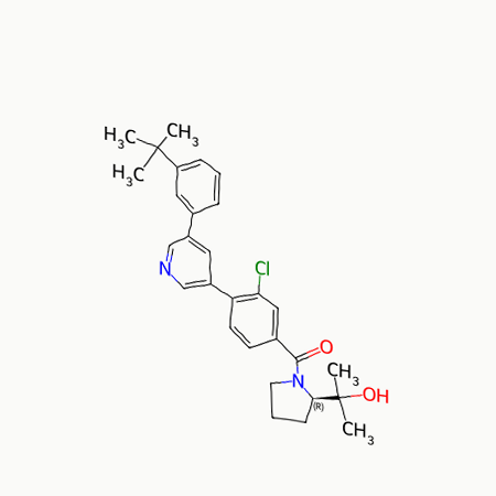 CC(C)(C)c1cccc(-c2cncc(-c3ccc(C(=O)N4CCC[C@@H]4C(C)(C)O)cc3Cl)c2)c1